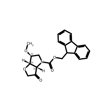 CO[C@H]1CN(C(=O)OCC2c3ccccc3-c3ccccc32)[C@@H]2C(=O)CO[C@H]12